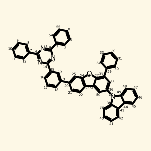 c1ccc(-c2nc(-c3ccccc3)nc(-c3cccc(-c4ccc5c(c4)oc4c(-c6ccccc6)cc(-n6c7ccccc7c7ccccc76)cc45)c3)n2)cc1